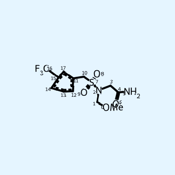 COCN(CC(N)=O)S(=O)(=O)Cc1cccc(C(F)(F)F)c1